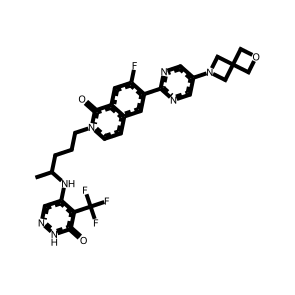 CC(CCCn1ccc2cc(-c3ncc(N4CC5(COC5)C4)cn3)c(F)cc2c1=O)Nc1cn[nH]c(=O)c1C(F)(F)F